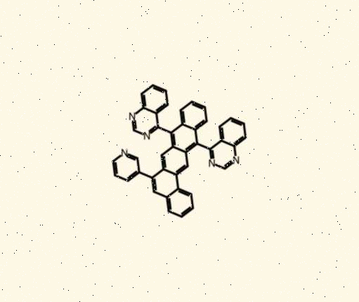 c1cncc(-c2cc3ccccc3c3cc4c(-c5ncnc6ccccc56)c5ccccc5c(-c5ncnc6ccccc56)c4cc23)c1